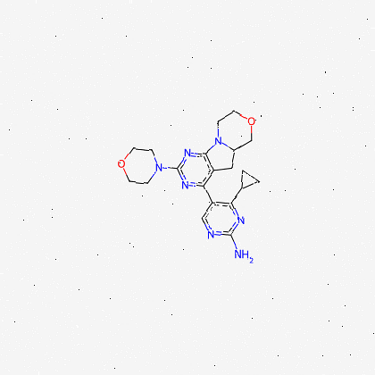 Nc1ncc(-c2nc(N3CCOCC3)nc3c2CC2COCCN32)c(C2CC2)n1